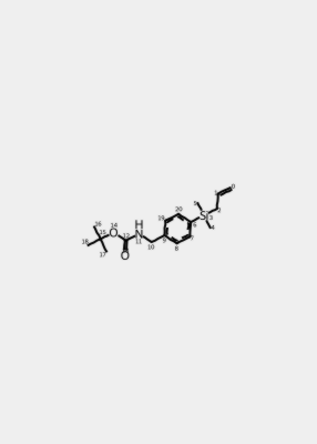 C=CC[Si](C)(C)c1ccc(CNC(=O)OC(C)(C)C)cc1